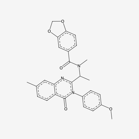 COc1ccc(-n2c(C(C)N(C)C(=O)c3ccc4c(c3)OCO4)nc3cc(C)ccc3c2=O)cc1